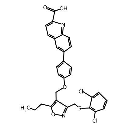 CCCc1onc(CSc2c(Cl)cccc2Cl)c1COc1ccc(-c2ccc3nc(C(=O)O)ccc3c2)cc1